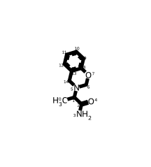 CC(C(N)=O)N1COc2ccccc2C1